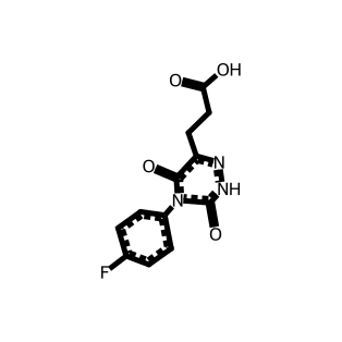 O=C(O)CCc1n[nH]c(=O)n(-c2ccc(F)cc2)c1=O